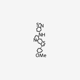 COc1ccc(-c2csc3cc4c(Nc5ccc6scnc6c5)ccnc4cc23)cc1